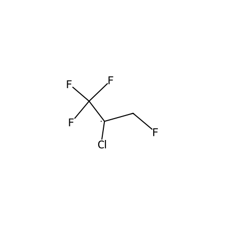 FC[C](Cl)C(F)(F)F